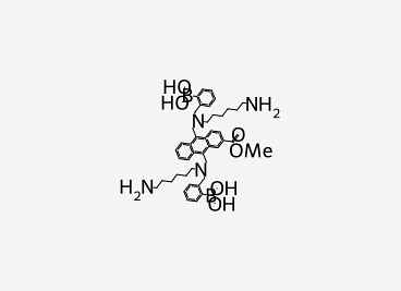 COC(=O)c1ccc2c(CN(CCCCCCN)Cc3ccccc3B(O)O)c3ccccc3c(CN(CCCCCCN)Cc3ccccc3B(O)O)c2c1